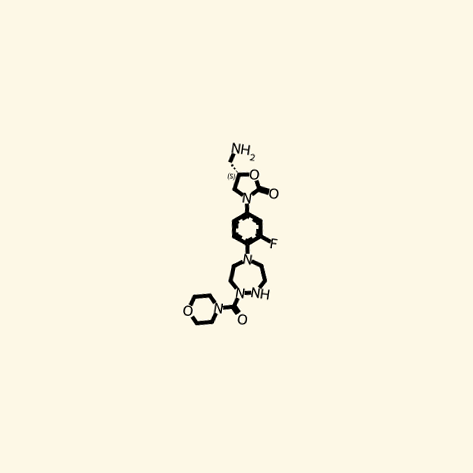 NC[C@H]1CN(c2ccc(N3CCNN(C(=O)N4CCOCC4)CC3)c(F)c2)C(=O)O1